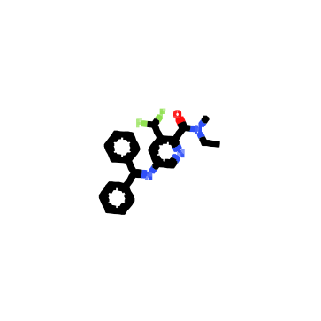 CCN(C)C(=O)c1ncc(N=C(c2ccccc2)c2ccccc2)cc1C(F)F